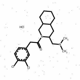 CN(C)CC1CC2CCCCC2CN1C(=O)Cc1ccc(Cl)c(Cl)c1.Cl